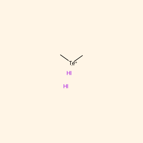 C[Te+]C.I.I